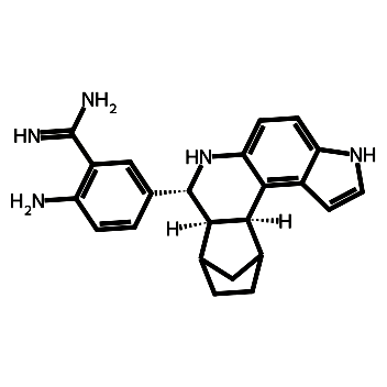 N=C(N)c1cc([C@@H]2Nc3ccc4[nH]ccc4c3[C@H]3C4CCC(C4)[C@@H]23)ccc1N